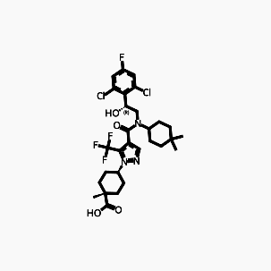 CC1(C)CCC(N(C[C@H](O)c2c(Cl)cc(F)cc2Cl)C(=O)c2cnn([C@H]3CC[C@](C)(C(=O)O)CC3)c2C(F)(F)F)CC1